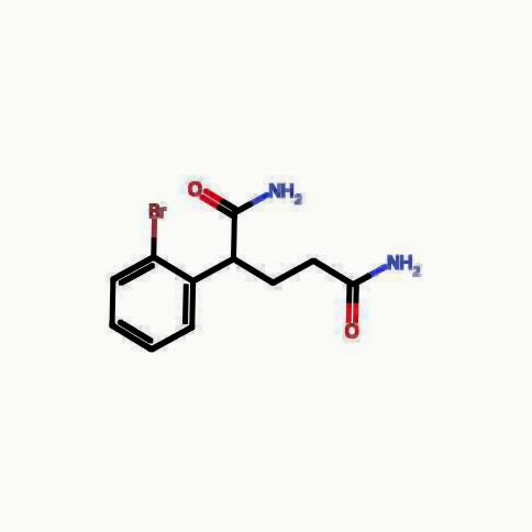 NC(=O)CCC(C(N)=O)c1ccccc1Br